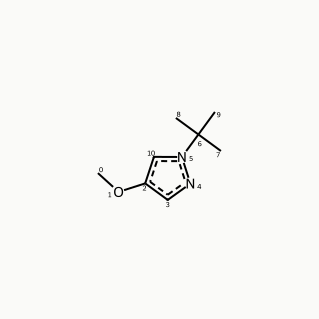 COc1cnn(C(C)(C)C)c1